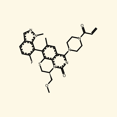 C=CC(=O)N1CCN(c2nc(=O)n3c4c(c(-c5c(F)ccc6cnn(C)c56)c(C)cc24)SC[C@@H]3COC)CC1